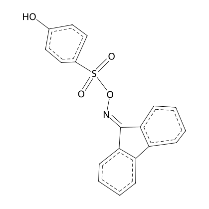 O=S(=O)(ON=C1c2ccccc2-c2ccccc21)c1ccc(O)cc1